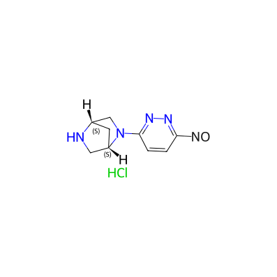 Cl.O=Nc1ccc(N2C[C@@H]3C[C@H]2CN3)nn1